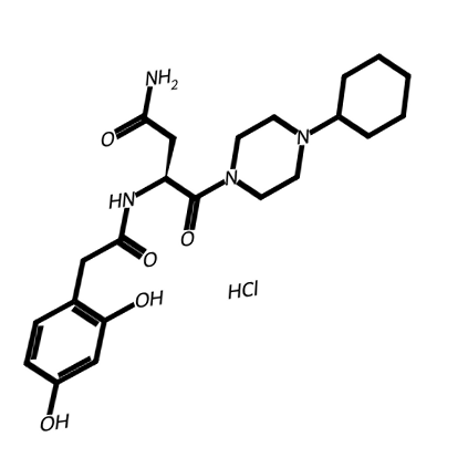 Cl.NC(=O)C[C@H](NC(=O)Cc1ccc(O)cc1O)C(=O)N1CCN(C2CCCCC2)CC1